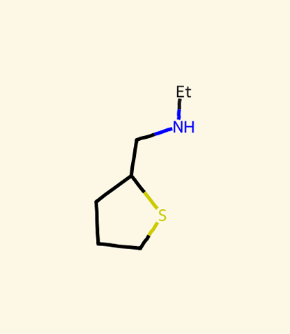 CCNCC1CCCS1